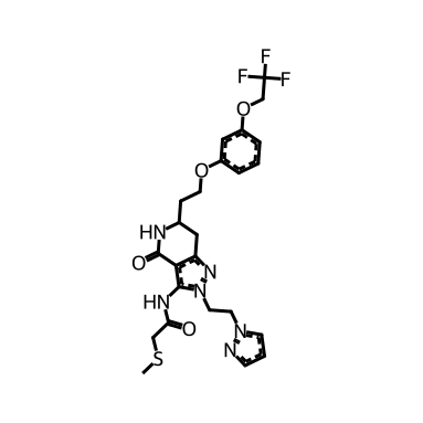 CSCC(=O)Nc1c2c(nn1CCn1cccn1)CC(CCOc1cccc(OCC(F)(F)F)c1)NC2=O